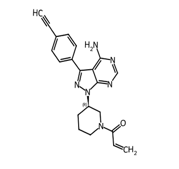 C#Cc1ccc(-c2nn([C@@H]3CCCN(C(=O)C=C)C3)c3ncnc(N)c23)cc1